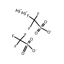 O=S(=O)([O-])C(F)(F)F.O=S(=O)([O-])C(F)(F)F.[Ag+].[Ag+]